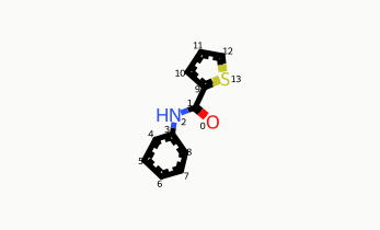 O=C(Nc1ccccc1)c1cccs1